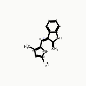 C=c1[nH]c2ccccc2/c1=C/c1[nH]c(C)cc1C